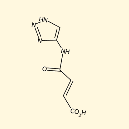 O=C(O)C=CC(=O)Nc1c[nH]nn1